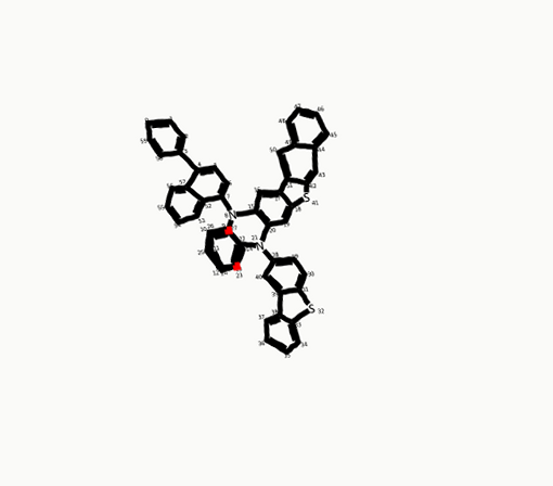 c1ccc(-c2ccc(N(c3ccccc3)c3cc4c(cc3N(c3ccccc3)c3ccc5sc6ccccc6c5c3)sc3cc5ccccc5cc34)c3ccccc23)cc1